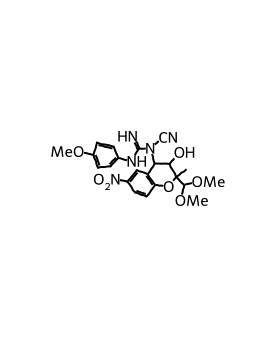 COc1ccc(NC(=N)N(C#N)C2c3cc([N+](=O)[O-])ccc3OC(C)(C(OC)OC)C2O)cc1